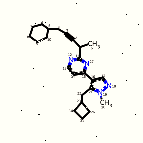 CC(C#CCC1CCCCC1)c1nccc(-c2cnn(C)c2CC2CCC2)n1